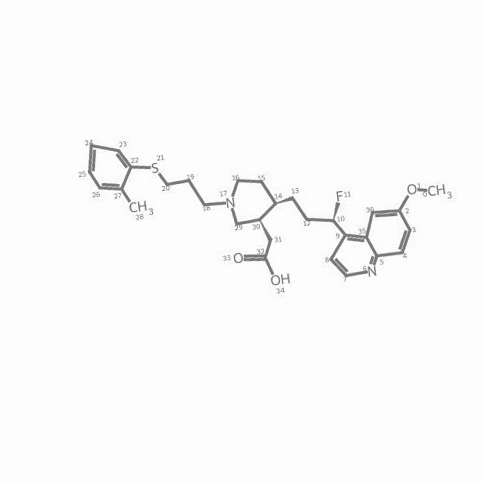 COc1ccc2nccc([C@H](F)CC[C@@H]3CCN(CCCSc4ccccc4C)C[C@@H]3CC(=O)O)c2c1